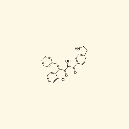 O=C(C(=Cc1ccccc1)c1ccccc1Cl)N(O)C(=O)c1ccc2c(c1)NCC2